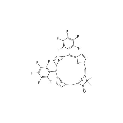 CC1(C)C(=O)C2=NC1=CC1=NC(=C(c3c(F)c(F)c(F)c(F)c3F)C3=NC(=C(c4c(F)c(F)c(F)c(F)c4F)C4=NC(=C2)C=C4)C=C3)C=C1